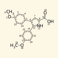 COc1ccc(-c2cc(C(=O)O)[nH]c2-c2ccc(OC)cc2)cc1